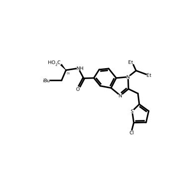 CCC(C)C[C@H](NC(=O)c1ccc2c(c1)nc(Cc1ccc(Cl)s1)n2C(CC)CC)C(=O)O